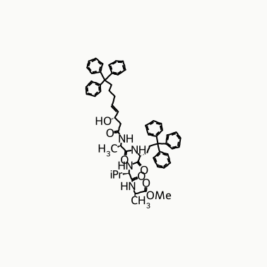 COC(=O)[C@@H](C)NC(=O)[C@H](NC(=O)[C@@H](CCC(c1ccccc1)(c1ccccc1)c1ccccc1)NC(=O)[C@@H](C)NC(=O)C[C@H](O)/C=C/CCCC(c1ccccc1)(c1ccccc1)c1ccccc1)C(C)C